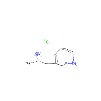 Cl.[2H]C(N)Cc1cccnc1